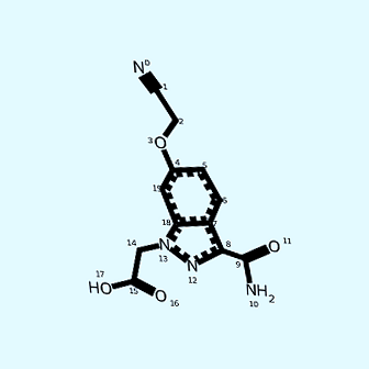 N#CCOc1ccc2c(C(N)=O)nn(CC(=O)O)c2c1